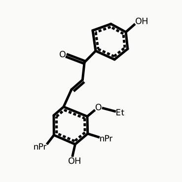 CCCc1cc(/C=C/C(=O)c2ccc(O)cc2)c(OCC)c(CCC)c1O